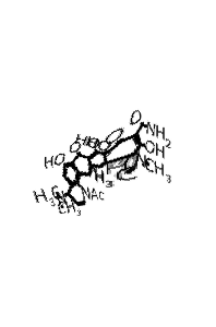 CC(=O)N1CCC(N(C)C)c2cc(O)c3c(c21)C[C@@H]1C[C@@H]2[C@@H](N(C)C)C(O)=C(C(N)=O)C(=O)[C@@]2(O)C(O)=C1C3=O